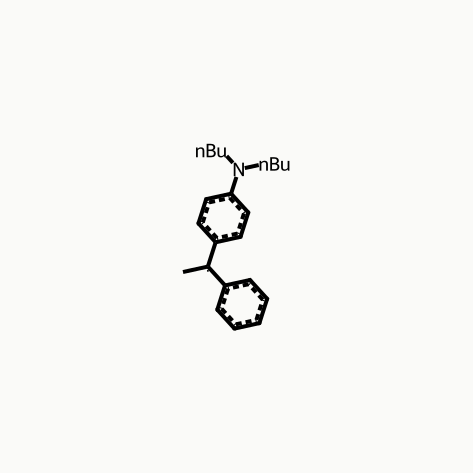 CCCCN(CCCC)c1ccc([C](C)c2ccccc2)cc1